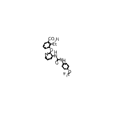 CCc1c(Oc2ncccc2NC(=O)Nc2ccc(OC(F)(F)F)cc2)cccc1C(=O)O